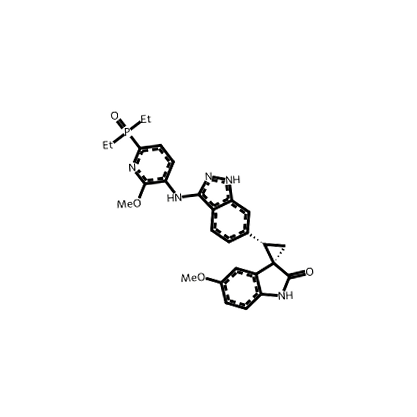 CCP(=O)(CC)c1ccc(Nc2n[nH]c3cc([C@@H]4C[C@@]45C(=O)Nc4ccc(OC)cc45)ccc23)c(OC)n1